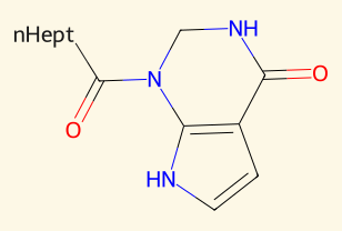 CCCCCCCC(=O)N1CNC(=O)c2cc[nH]c21